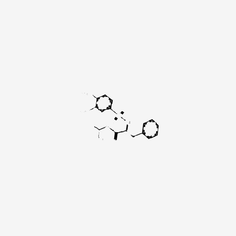 CCCC[C@H](NC(=O)[C@H](Cc1ccccc1)NS(=O)(=O)c1ccc(OC)c(OC)c1)C(=O)O